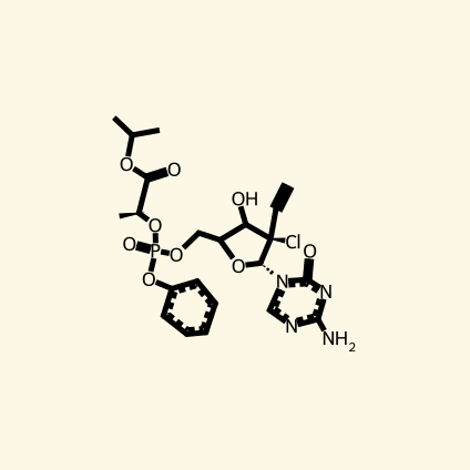 C#C[C@@]1(Cl)C(O)C(COP(=O)(Oc2ccccc2)O[C@@H](C)C(=O)OC(C)C)O[C@H]1n1cnc(N)nc1=O